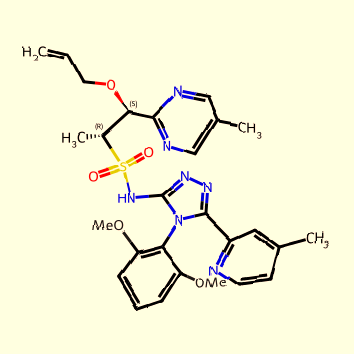 C=CCO[C@@H](c1ncc(C)cn1)[C@@H](C)S(=O)(=O)Nc1nnc(-c2cc(C)ccn2)n1-c1c(OC)cccc1OC